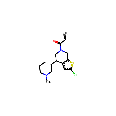 C=CC(=O)N1Cc2sc(Cl)cc2[C@@H]([C@H]2CCCN(C)C2)C1